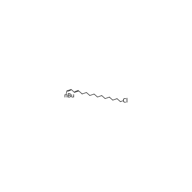 CCCC/C=C\C=C\CCCCCCCCCCCCl